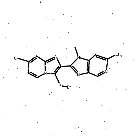 CCSc1c(-c2nc3cnc(C(F)(F)F)cc3n2C)nc2cc(Cl)ccn12